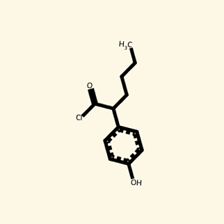 CCCCC(C(=O)Cl)c1ccc(O)cc1